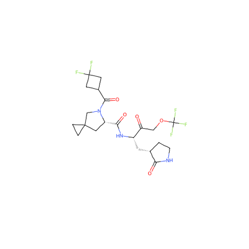 O=C1NCC[C@H]1C[C@H](NC(=O)[C@@H]1CC2(CC2)CN1C(=O)C1CC(F)(F)C1)C(=O)COC(F)(F)F